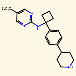 CCOC(=O)c1cnc(NC2(c3ccc(C4CCNCC4)cc3)CCC2)nc1